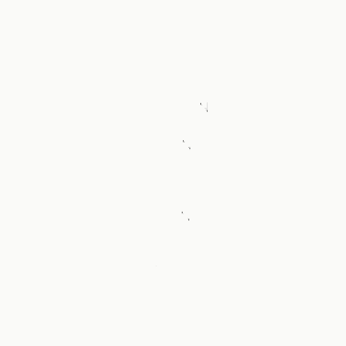 C1=CN(Cn2cccn2)C1